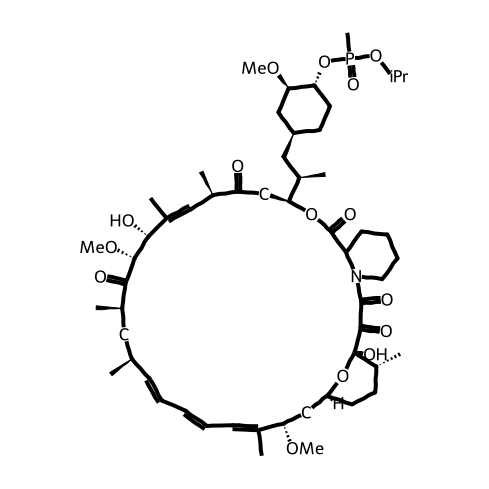 CO[C@H]1C[C@@H]2CC[C@@H](C)C(O)(O2)C(=O)C(=O)N2CCCCC2C(=O)O[C@H]([C@H](C)C[C@@H]2CC[C@@H](OP(C)(=O)OC(C)C)[C@H](OC)C2)CC(=O)[C@H](C)/C=C(\C)[C@@H](O)[C@@H](OC)C(=O)[C@H](C)C[C@H](C)/C=C/C=C/C=C/1C